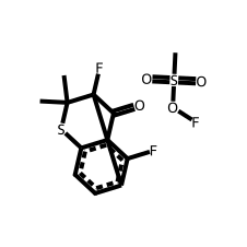 CC1(C)Sc2ccc3c(F)c2C(=O)C31F.CS(=O)(=O)OF